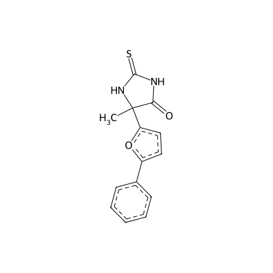 CC1(c2ccc(-c3ccccc3)o2)NC(=S)NC1=O